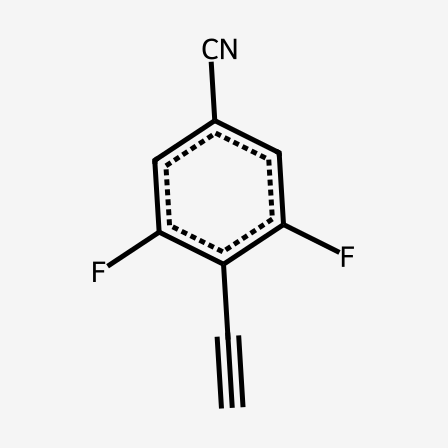 C#Cc1c(F)cc(C#N)cc1F